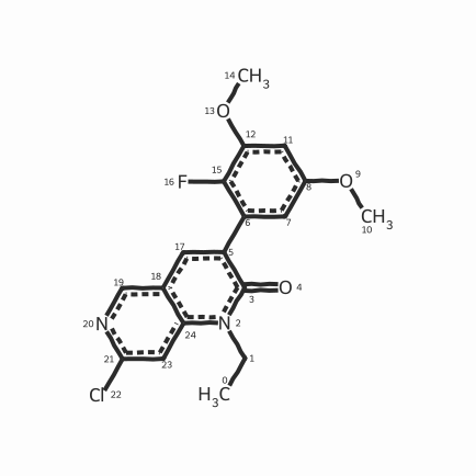 CCn1c(=O)c(-c2cc(OC)cc(OC)c2F)cc2cnc(Cl)cc21